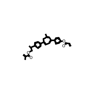 C=CC(=O)Oc1ccc(C2=CC=C(c3ccc(C(C)COC(=O)C(=C)C)cc3)CC(C)=C2)cc1